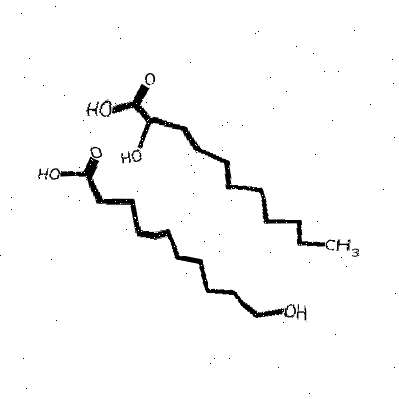 CCCCCCCCCC(O)C(=O)O.O=C(O)CCCCCCCCCO